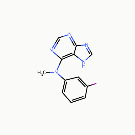 CN(c1cccc(I)c1)c1ncnc2nc[nH]c12